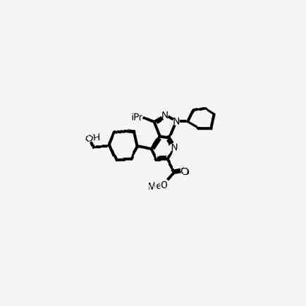 COC(=O)c1cc(C2CCC(CO)CC2)c2c(C(C)C)nn(C3CCCCC3)c2n1